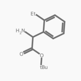 [CH2]Cc1ccccc1C(N)C(=O)OC(C)(C)C